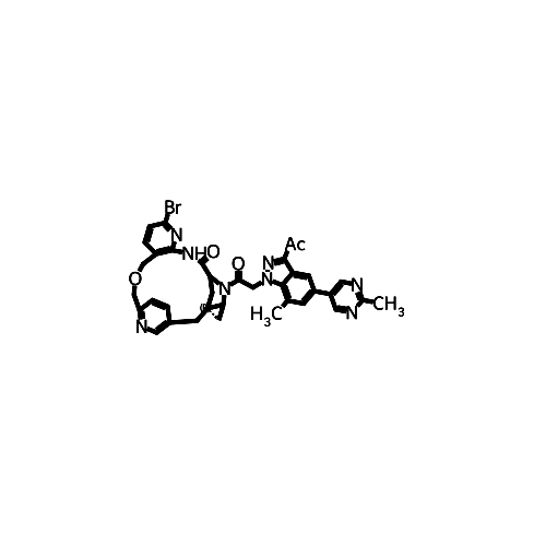 CC(=O)c1nn(CC(=O)N2C3C[C@@]4(Cc5ccc(nc5)COCc5ccc(Br)nc5NC3=O)CC24)c2c(C)cc(-c3cnc(C)nc3)cc12